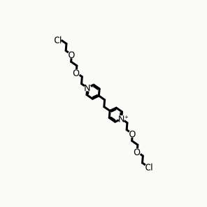 ClCCOCCOCC[n+]1ccc(CCc2cc[n+](CCOCCOCCCl)cc2)cc1